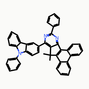 CC1(C)c2c(-c3ccc4c(c3)c3ccccc3n4-c3ccccc3)nc(-c3ccccc3)nc2-c2c1c1ccccc1c1ccccc21